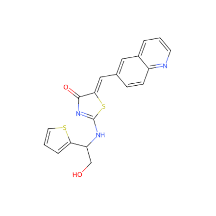 O=C1N=C(NC(CO)c2cccs2)S/C1=C\c1ccc2ncccc2c1